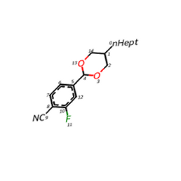 CCCCCCCC1COC(c2ccc(C#N)c(F)c2)OC1